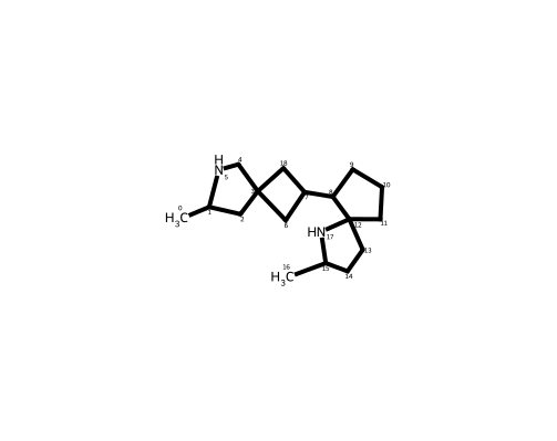 CC1CC2(CN1)CC(C1CCCC13CCC(C)N3)C2